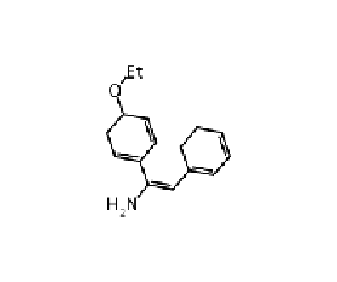 CCOC1C=CC(/C(N)=C\C2=CC=CCC2)=CC1